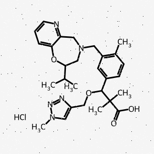 Cc1ccc(C(OCc2cn(C)nn2)C(C)(C)C(=O)O)cc1CN1Cc2ncccc2OC(C(C)C)C1.Cl